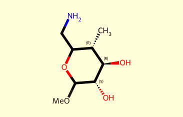 COC1OC(CN)[C@H](C)[C@@H](O)[C@@H]1O